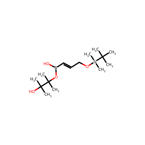 CC(C)(O)C(C)(C)OB(O)C=CCO[Si](C)(C)C(C)(C)C